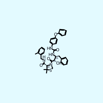 Cc1ccccc1CNC(=O)[C@H]1N(C(=O)[C@@H](O)[C@H](Cc2ccccc2)NC(=O)Nc2ccc(Oc3ccccc3)cc2)CSC1(C)C